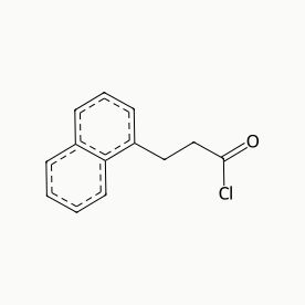 O=C(Cl)CCc1cccc2ccccc12